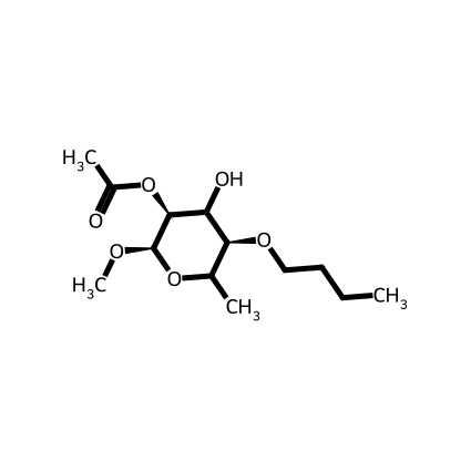 CCCCO[C@H]1C(C)O[C@@H](OC)[C@@H](OC(C)=O)C1O